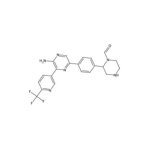 Nc1ncc(-c2ccc(C3CNCCN3C=O)cc2)nc1-c1ccc(C(F)(F)F)nc1